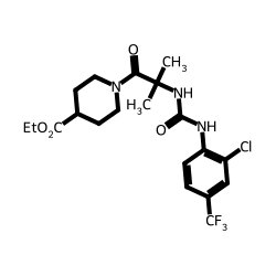 CCOC(=O)C1CCN(C(=O)C(C)(C)NC(=O)Nc2ccc(C(F)(F)F)cc2Cl)CC1